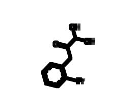 CC(C)c1ccccc1CC(=O)C(O)O